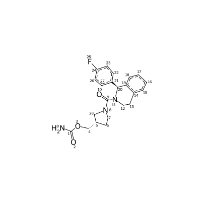 NC(=O)OC[C@H]1CCN(C(=O)N2CCc3ccccc3[C@@H]2c2ccc(F)cc2)C1